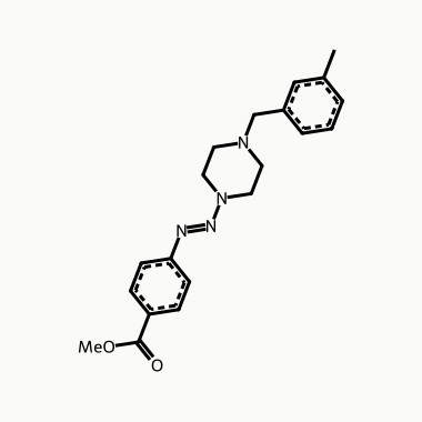 COC(=O)c1ccc(/N=N/N2CCN(Cc3cccc(C)c3)CC2)cc1